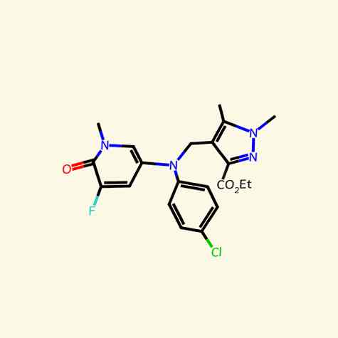 CCOC(=O)c1nn(C)c(C)c1CN(c1ccc(Cl)cc1)c1cc(F)c(=O)n(C)c1